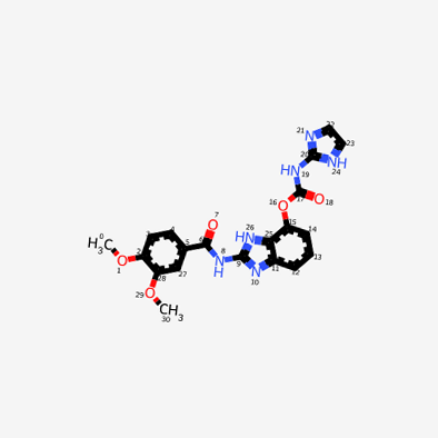 COc1ccc(C(=O)Nc2nc3cccc(OC(=O)Nc4ncc[nH]4)c3[nH]2)cc1OC